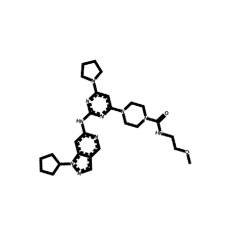 COCCNC(=O)N1CCN(c2cc(N3CCCC3)nc(Nc3cc4c(cn3)cnn4C3CCCC3)n2)CC1